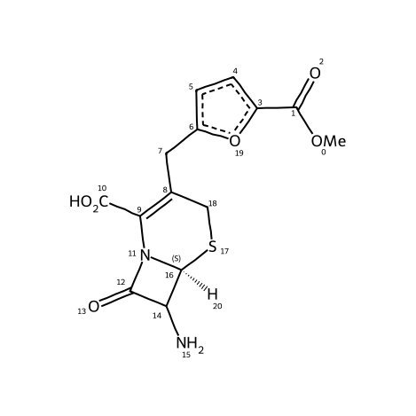 COC(=O)c1ccc(CC2=C(C(=O)O)N3C(=O)C(N)[C@@H]3SC2)o1